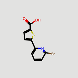 O=C(O)c1ccc(-c2cccc(Br)n2)s1